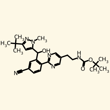 Cn1nc(C(C)(C)C)cc1C(O)c1cc(C#N)ccc1-c1ncc(CCNC(=O)OC(C)(C)C)cn1